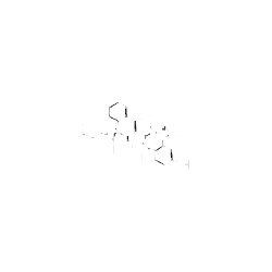 CC(C)CCNn1c(=O)c(C2=NS(=O)(=O)c3cc(O)ccc3N2)c(O)c2ccccc21